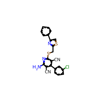 N#Cc1c(N)nc(SCc2nc(-c3ccccc3)cs2)c(C#N)c1-c1cccc(Cl)c1